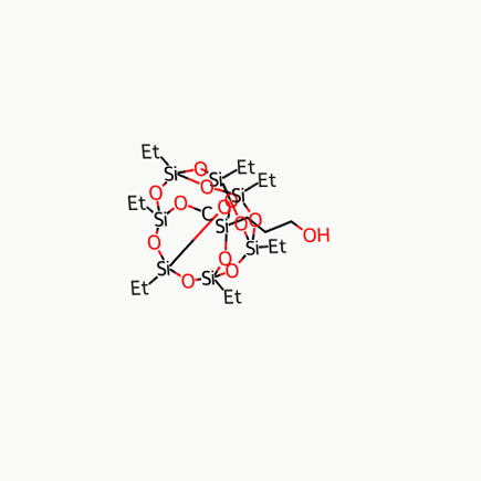 CC[Si]12OC[Si]3(CCCO)O[Si]4(CC)O[Si](CC)(O1)O[Si]1(CC)O[Si](CC)(O2)O[Si](CC)(O3)O[Si](CC)(O4)O1